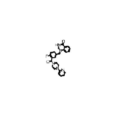 O=C1NCN(Cc2ccc(F)c(C(=O)N3CCN(c4ccccn4)CC3)c2)c2ccccc21